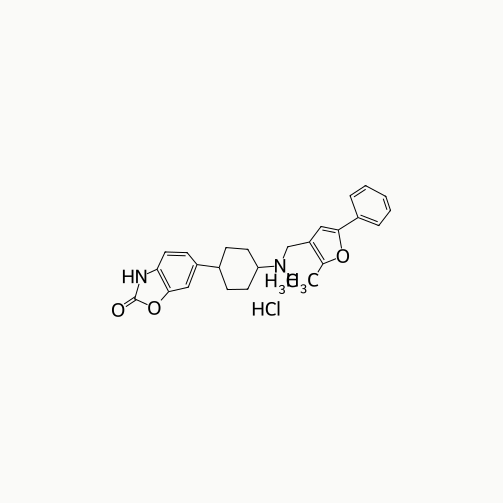 Cc1oc(-c2ccccc2)cc1CN(C)C1CCC(c2ccc3[nH]c(=O)oc3c2)CC1.Cl